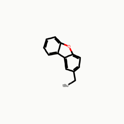 CC(C)(C)Cc1ccc2oc3ccccc3c2c1